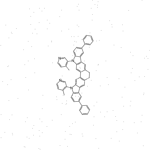 Cc1ccncc1-n1c2ccc(-c3ccccc3)cc2c2cc3c(cc21)-c1cc2c(cc1CC3)c1cc(-c3ccccc3)ccc1n2-c1cnccc1C